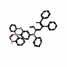 C=C/C(=C\C(=C(/C)c1ccccc1)c1ccccc1)N(c1ccccc1)c1ccc2c(c1)Sc1ccccc1[Si]21c2ccccc2Sc2ccccc21